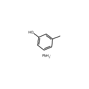 Cc1cccc(O)c1.[PbH2]